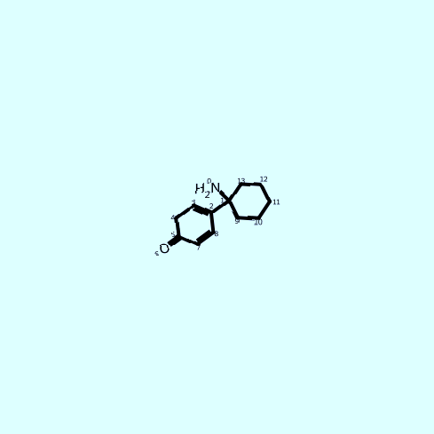 NC1(C2=CCC(=O)C=C2)CCCCC1